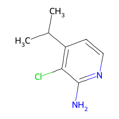 CC(C)c1ccnc(N)c1Cl